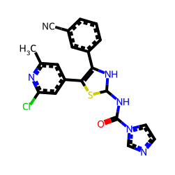 Cc1cc(C2=C(c3cccc(C#N)c3)NC(NC(=O)n3ccnc3)S2)cc(Cl)n1